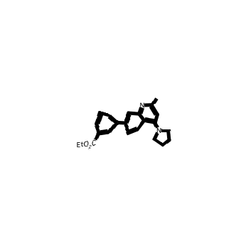 CCOC(=O)c1cccc(-c2ccc3c(N4CCCC4)cc(C)nc3c2)c1